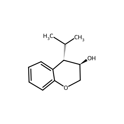 CC(C)[C@H]1c2ccccc2OC[C@@H]1O